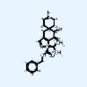 CC(C)[N+]1(C(=O)OCc2ccccc2)N=CC2=C1C(=O)C(Br)C1(CCNCC1)C2